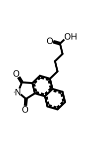 O=C(O)CCCc1cc2c(c3ccccc13)C(=O)[N]C2=O